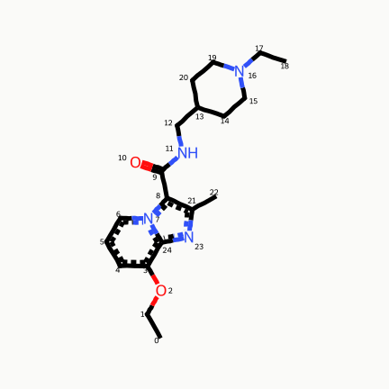 CCOc1cccn2c(C(=O)NCC3CCN(CC)CC3)c(C)nc12